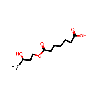 CC(O)CCOC(=O)CCCCCC(=O)O